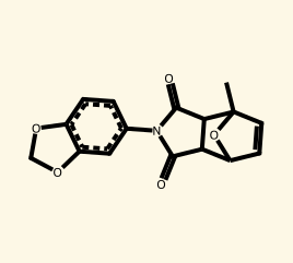 CC12C=CC(O1)C1C(=O)N(c3ccc4c(c3)OCO4)C(=O)C12